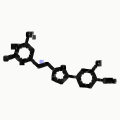 COc1ccc(-c2ccc(/C=C/c3cc(C(F)(F)F)[nH]c(=O)n3)o2)cc1Cl